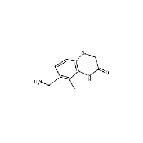 NCc1ccc2c(c1F)NC(=O)CO2